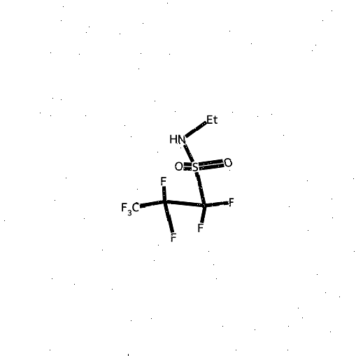 CCNS(=O)(=O)C(F)(F)C(F)(F)C(F)(F)F